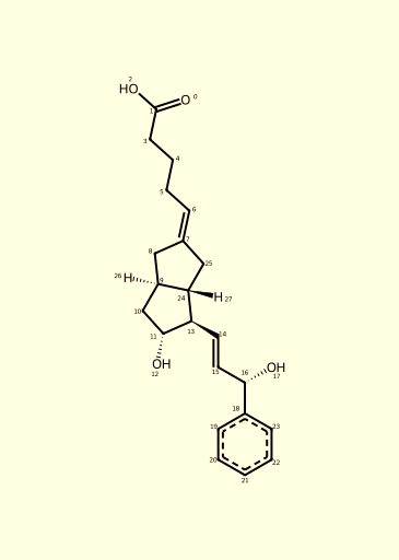 O=C(O)CCC/C=C1\C[C@@H]2C[C@@H](O)[C@H](/C=C/[C@H](O)c3ccccc3)[C@H]2C1